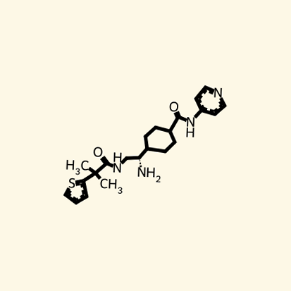 CC(C)(C(=O)NC[C@@H](N)C1CCC(C(=O)Nc2ccncc2)CC1)c1cccs1